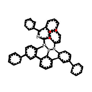 c1ccc(-c2ccc3c(c2)-c2cccc4c2B(N3c2ccccc2)N(c2nc(-c3ccccc3)c3ccccc3n2)c2ccc(-c3ccccc3)cc2-4)cc1